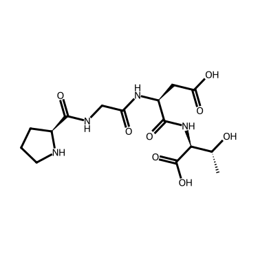 C[C@@H](O)[C@H](NC(=O)[C@H](CC(=O)O)NC(=O)CNC(=O)[C@@H]1CCCN1)C(=O)O